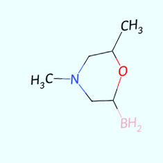 BC1CN(C)CC(C)O1